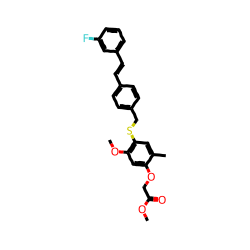 COC(=O)COc1cc(OC)c(SCc2ccc(/C=C/c3cccc(F)c3)cc2)cc1C